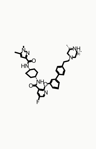 Cc1cc(C(=O)N[C@H]2CC[C@@H](NC(=O)c3cc(F)cnc3Oc3cccc(-c4ccc(CCN5C[C@@H](C)N[C@@H](C)C5)cc4)c3)CC2)nn1C